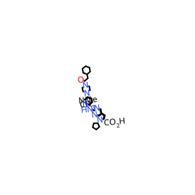 CNC.O=C(O)c1cc2cnc(Nc3ccc(N4CCN(C(=O)CC5CCCCC5)CC4)cn3)nc2n1C1CCCC1